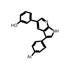 CC(=O)c1ccc(-c2c[nH]c3ncc(-c4cccc(O)c4)cc23)cc1